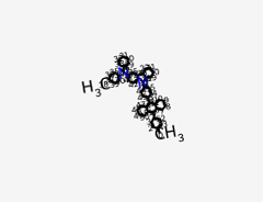 Cc1ccc(-c2c3ccccc3c(-c3ccc(-n4c5ccccc5c5cc(N(c6ccccc6)c6ccc(C)cc6)ccc54)cc3)c3ccccc23)cc1